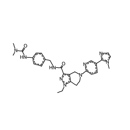 CCn1nc(C(=O)NCc2ccc(NC(=O)N(C)C)cc2)c2c1CCN(c1ccc(-c3nccn3C)cn1)C2